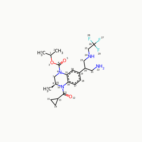 CC(C)OC(=O)N1C[C@H](C)N(C(=O)C2CC2)c2ccc(C(CN)CNCC(F)(F)F)cc21